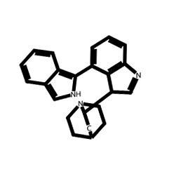 [C]1=Nc2cccc(-c3[nH]cc4ccccc34)c2C1C1CC2CCN1CC2